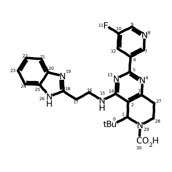 CC(C)(C)C1c2c(nc(-c3cncc(F)c3)nc2NCCc2nc3ccccc3[nH]2)CCN1C(=O)O